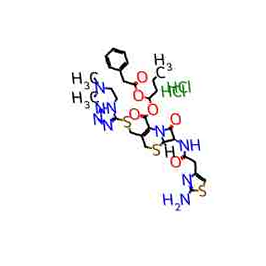 CCCC(OC(=O)Cc1ccccc1)OC(=O)C1=C(CSc2nnnn2CCN(C)C)CS[C@H]2[C@H](NC(=O)Cc3csc(N)n3)C(=O)N12.Cl.Cl